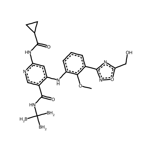 BC(B)(B)NC(=O)c1cnc(NC(=O)C2CC2)cc1Nc1cccc(-c2noc(CO)n2)c1OC